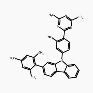 Cc1cc(C)c(-c2ccc3c4ccccc4n(-c4ccc(-c5nc(C)nc(C)n5)c(C#N)c4)c3c2)c(C)c1